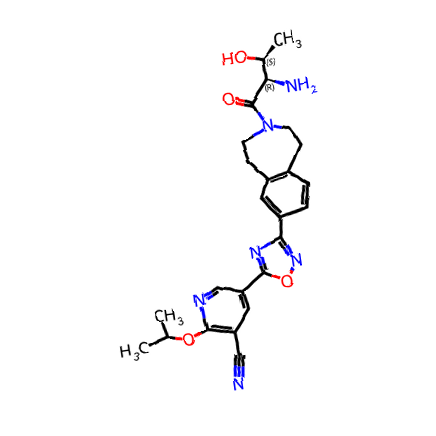 CC(C)Oc1ncc(-c2nc(-c3ccc4c(c3)CCN(C(=O)[C@H](N)[C@H](C)O)CC4)no2)cc1C#N